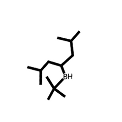 CC(C)CC(BC(C)(C)C)CC(C)C